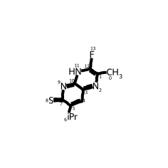 Cc1nc2cc(C(C)C)c(=S)nc-2[nH]c1F